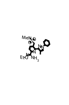 CCO/N=C(\N)c1ccc(CS(=O)(=O)NC)c(-c2nn(-c3ccccc3)cc2C)n1